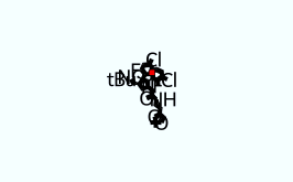 CC(C)(C)C[C@@H]1CN(CC(=O)NCCC2COC(C)(C)O2)[C@H](c2cccc(Cl)c2F)[C@@]1(C#N)c1ccc(Cl)cc1F